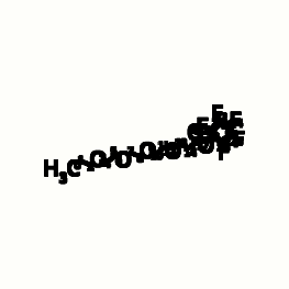 CCCOCCOCCOCCOCCC(=O)Oc1c(F)c(F)c(F)c(F)c1F